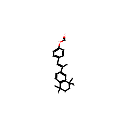 CC(=Cc1ccc(OC=O)cc1)c1ccc2c(c1)C(C)(C)CCC2(C)C